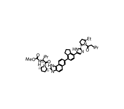 CC[C@H]1CC[C@@H](c2ncc(-c3ccc(-c4ccc5c(ccc6nc([C@@H]7CC[C@H](C)N7C(=O)[C@@H](NC(=O)OC)C(C)C)[nH]c65)c4)c4c3CCC4)[nH]2)N1C(=O)CC(C)C